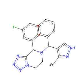 CC(C)c1n[nH]cc1C(c1ccccc1)N1CCn2nnnc2C1c1cccc(F)c1